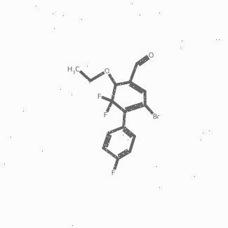 CCOC1C(C=O)=CC(Br)=C(c2ccc(F)cc2)C1(F)F